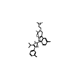 CC(=O)N(CCN(C)C)Cc1nn(-c2nc(-c3cccc(C)c3)c(C(C)C)s2)c2ccc(C)cc12